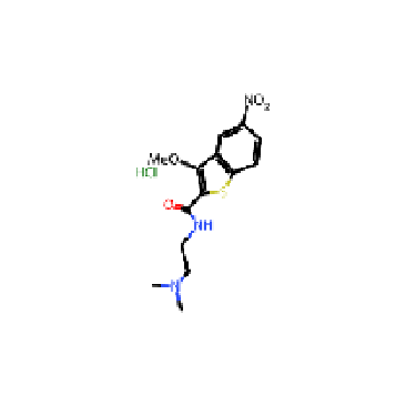 COc1c(C(=O)NCCN(C)C)sc2ccc([N+](=O)[O-])cc12.Cl